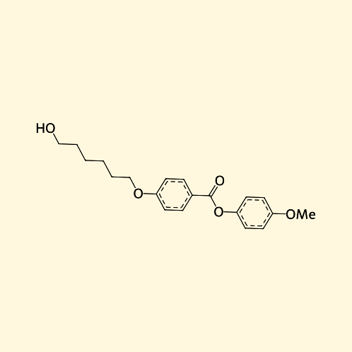 COc1ccc(OC(=O)c2ccc(OCCCCCCO)cc2)cc1